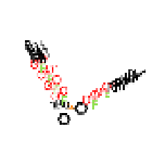 CCCCP(c1ccccc1)c1ccccc1.[O-]B([O-])F.[O-]B([O-])F.[O-]B([O-])F.[O-]B([O-])F.[O-]B([O-])F.[O-]B([O-])F.[Rh+].[Rh+].[Rh+].[Rh+].[Rh+].[Rh+].[Rh+].[Rh+].[Rh+].[Rh+].[Rh+].[Rh+]